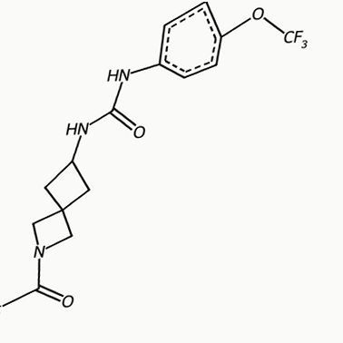 CCC(=O)N1CC2(CC(NC(=O)Nc3ccc(OC(F)(F)F)cc3)C2)C1